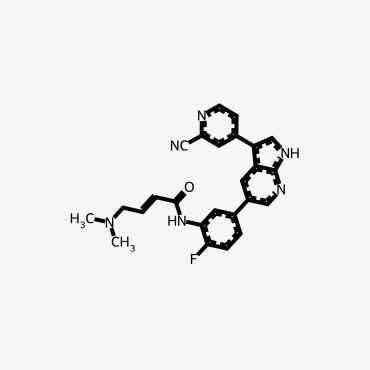 CN(C)C/C=C/C(=O)Nc1cc(-c2cnc3[nH]cc(-c4ccnc(C#N)c4)c3c2)ccc1F